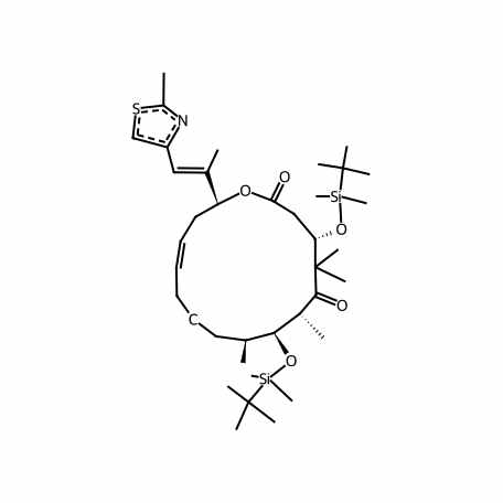 CC(=Cc1csc(C)n1)[C@@H]1CC=CCCC[C@H](C)[C@H](O[Si](C)(C)C(C)(C)C)[C@@H](C)C(=O)C(C)(C)[C@@H](O[Si](C)(C)C(C)(C)C)CC(=O)O1